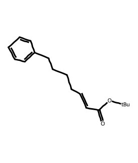 CC(C)(C)OC(=O)C=CCCCCc1ccccc1